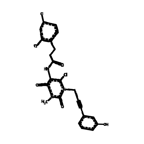 Cn1c(=O)c(NC(=O)CCc2ccc(Cl)cc2Cl)c(Cl)n(CC#Cc2cccc(O)c2)c1=O